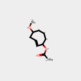 CSC(=O)OC1/C=C/CC(OC(C)(C)C)CCC1